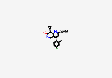 CSc1cc(-c2ccc(F)cc2C)c2c(n1)C(C1CC1)C(=O)N=C2